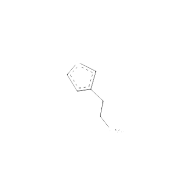 COCCc1[c]scc1